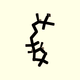 CCC(C)(C)[C@H](C)CCCC(C)(C)[C@]1(C)OC(C)(C)O[C@H]1C